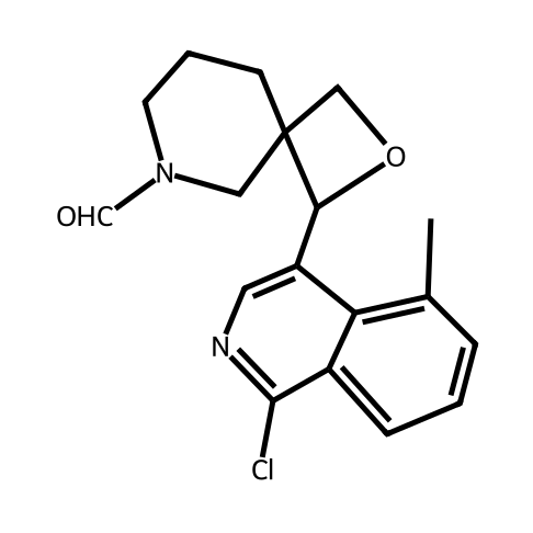 Cc1cccc2c(Cl)ncc(C3OCC34CCCN(C=O)C4)c12